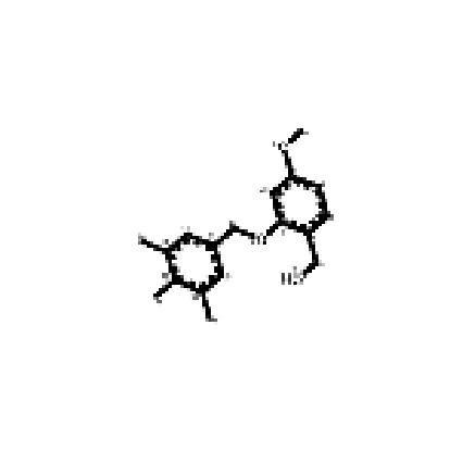 COc1ccc(CO)c(OCc2cc(C)c(C)c(C)c2)c1